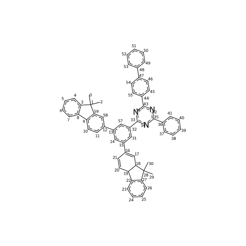 CC1(C)c2ccccc2-c2ccc(-c3cc(C4=CC5C(C=C4)c4ccccc4C5(C)C)cc(-c4nc(-c5ccccc5)nc(-c5ccc(-c6ccccc6)cc5)n4)c3)cc21